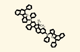 CC1(C)c2cc(N(c3ccccc3)c3cccc4c3oc3c(-c5ccccc5)cc5ccccc5c34)c3ccccc3c2-c2ccc3cc(N(c4ccccc4)c4cccc5c4oc4c(-c6ccccc6)cc6ccccc6c45)ccc3c21